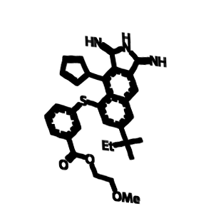 CCC(C)(C)c1cc(Sc2cccc(C(=O)OCCOC)c2)c2c(C3C=CC=C3)c3c(cc2c1)C(=N)NC3=N